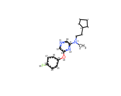 CN(CCC1CCCC1)c1cncc(Oc2ccc(F)cc2)n1